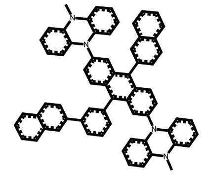 CN1c2ccccc2N(c2ccc3c(-c4ccc5ccccc5c4)c4cc(N5c6ccccc6N(C)c6ccccc65)ccc4c(-c4cccc(-c5ccc6ccccc6c5)c4)c3c2)c2ccccc21